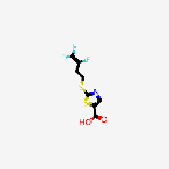 O=C(O)c1cnc(SCCC(F)=C(F)F)s1